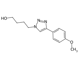 COc1ccc(-c2cn(CCCCO)nn2)cc1